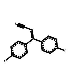 N#CC=C(c1ccc(F)cc1)c1ccc(F)cc1